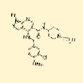 CCn1ncc2c(NCc3ccc(OC)c(Cl)c3)c(C(=O)NC3CCN(C(=O)O)CC3)cnc21